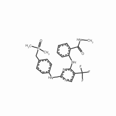 CNC(=O)c1ccccc1Nc1nc(Nc2ccc(CP(C)(C)=O)cc2)ncc1C(F)(F)F